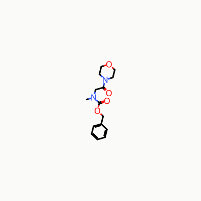 CN(CC(=O)N1CCOCC1)C(=O)OCc1ccccc1